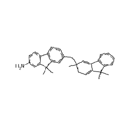 CC1(Cc2ccc3c(c2)C(C)(C)c2cc(N)ccc2-3)C=C2C(=CC1)C(C)(C)c1ccccc12